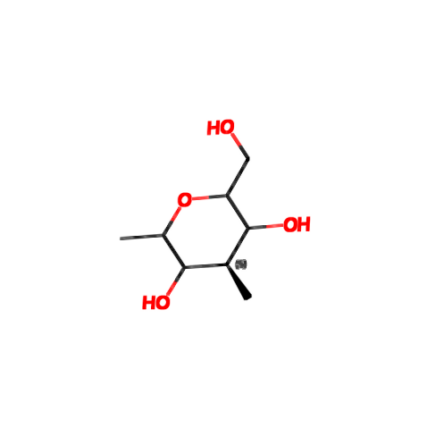 CC1OC(CO)C(O)[C@@H](C)C1O